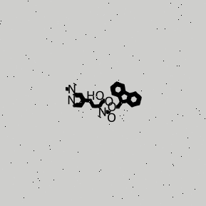 CN(C)c1cc(CCC(C(=O)O)N(C)C(=O)OCC2c3ccccc3-c3ccccc32)ccn1